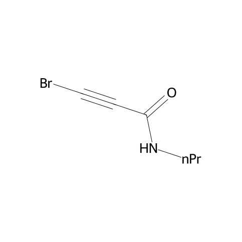 CCCNC(=O)C#CBr